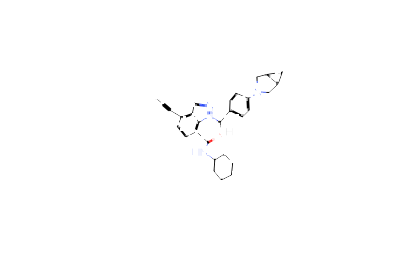 CC#Cc1ccc(C(=O)NC2CCCCC2)c2c1cnn2[C@@H](C)c1ccc(N2CC3CC3C2)cc1